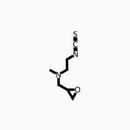 CN(CCN=C=S)CC1CO1